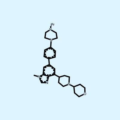 CC(C)N1CCN(c2ccc(-c3cc(C4CCN(C5CCOCC5)CC4)c4ncn(C)c4c3)cc2)CC1